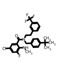 CNc1c(F)cc(Cl)cc1C(=O)N(CCc1cccc(C(F)(F)F)c1)Cc1ccc(C(C)(C)C)cc1